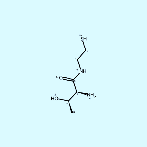 C[C@@H](O)[C@H](N)C(=O)NCCS